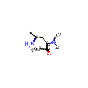 CCN(CC)[C@H](CC(C)N)C(=O)C(C)(C)C